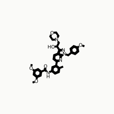 COc1ccc(Cn2nc(C(O)CN3CCOCC3)c3ccc(-c4cc(NC(=O)c5cc(OC)cc(OC)c5)ccc4C)nc32)cc1